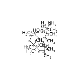 C=C(CC(C)(C)C(C)(C)CC(C)(C)C)C(O)CC(C)C(C)(C)C(C)(C)N